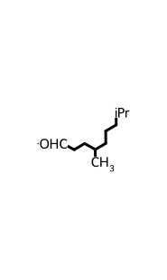 CC(C)CCCC(C)CC[C]=O